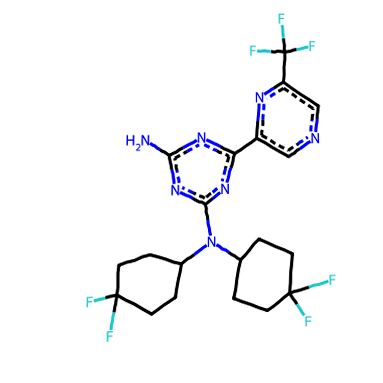 Nc1nc(-c2cncc(C(F)(F)F)n2)nc(N(C2CCC(F)(F)CC2)C2CCC(F)(F)CC2)n1